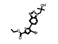 CCOC(=O)c1cc(Br)c(-c2ccc3c(c2)nnn3CC(C)(C)O)s1